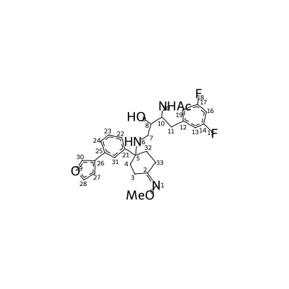 CON=C1CCC(NCC(O)C(Cc2cc(F)cc(F)c2)NC(C)=O)(c2cccc(-c3ccoc3)c2)CC1